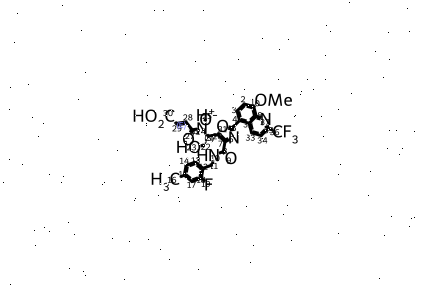 COc1ccc(-c2nc(C(=O)NCc3ccc(C)cc3F)c([C@H](CO)[NH+]([O-])C(=O)/C=C/C(=O)O)o2)c2ccc(C(F)(F)F)nc12